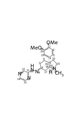 COc1ccc([C@@]23CCC(=NNc4cnccn4)C[C@@H]2N(C)CC3)cc1OC